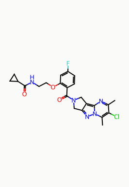 Cc1nc2c3c(nn2c(C)c1Cl)CN(C(=O)c1ccc(F)cc1OCCNC(=O)C1CC1)C3